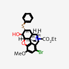 CCOC(=O)N1CC[C@]23c4c5c(Br)cc(OC)c4O[C@H]2[C@@H](O)[C@H](Sc2ccccc2)C[C@H]3[C@H]1C5